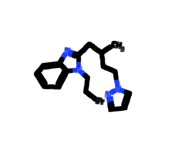 CC(C)CCn1c(CC(C)CCn2cccn2)nc2ccccc21